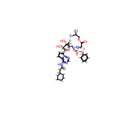 CCC(CC)COC(=O)[C@H](C)N[P@](=O)(OC[C@@]12O[C@@H](c3ccc4c(NC(=O)CC5CCCCC5)ncnn34)[C@H](O)[C@@]1(O)C2F)Oc1ccccc1